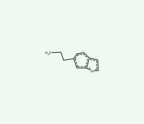 CCCc1ccc2cc[te]c2c1